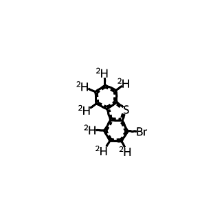 [2H]c1c([2H])c([2H])c2c(sc3c(Br)c([2H])c([2H])c([2H])c32)c1[2H]